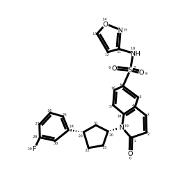 O=c1ccc2cc(S(=O)(=O)Nc3ccon3)ccc2n1[C@@H]1CC[C@H](c2cccc(F)c2)C1